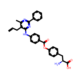 C=CCc1c(C)nc(-c2ccccc2)nc1Nc1ccc(C(=O)Oc2ccc(C[C@H](N)C(=O)O)cc2)cc1